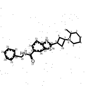 CC1CCCCN1C1CC(c2nc3ccc(C(=O)NCc4ccccc4)cc3s2)C1